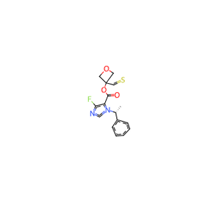 C[C@H](c1ccccc1)n1cnc(F)c1C(=O)OC1(C=S)COC1